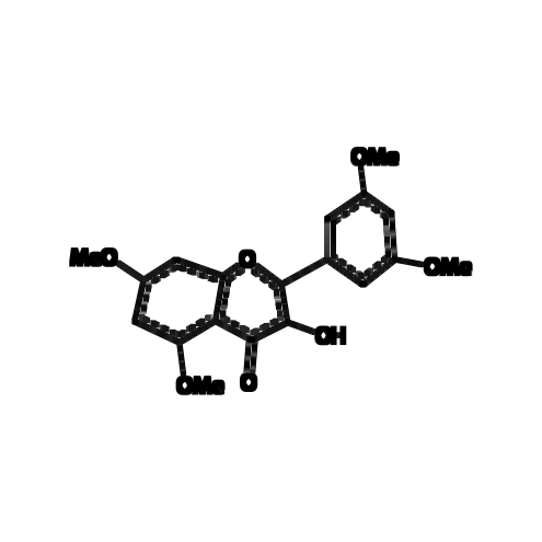 COc1cc(OC)cc(-c2oc3cc(OC)cc(OC)c3c(=O)c2O)c1